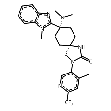 Cc1cc(C(F)(F)F)ncc1N1C[C@]2(CC[C@@](c3nc4ccccc4n3C)(N(C)C)CC2)NC1=O